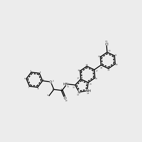 CC(Oc1ccccc1)C(=O)Nc1n[nH]c2cc(-c3cccc(Cl)c3)ccc12